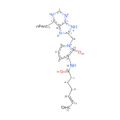 CCCCCc1ncnc2[nH]c(Cn3cccc(NC(=O)CCC/C=C/C=O)c3=O)nc12